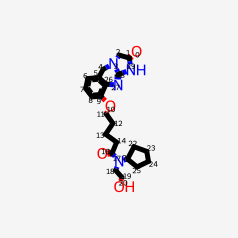 O=C1CN2Cc3cccc(OCCCCC(=O)N(CCO)C4CCCC4)c3N=C2N1